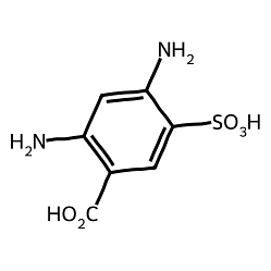 Nc1cc(N)c(S(=O)(=O)O)cc1C(=O)O